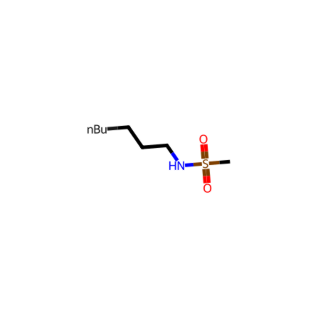 CCCCCCCNS(C)(=O)=O